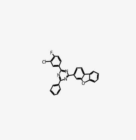 Fc1ccc(-c2nc(-c3ccccc3)nc(-c3ccc4c(c3)oc3ccccc34)n2)cc1Cl